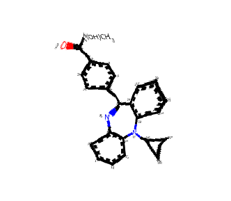 CN(O)C(=O)c1ccc(C2=Nc3ccccc3N(C3CC3)c3ccccc32)cc1